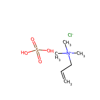 C=CC[N+](C)(C)C.O=S(=O)(O)O.[Cl-]